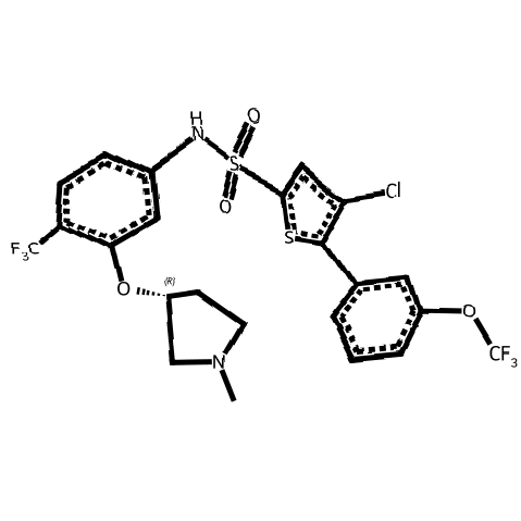 CN1CC[C@@H](Oc2cc(NS(=O)(=O)c3cc(Cl)c(-c4cccc(OC(F)(F)F)c4)s3)ccc2C(F)(F)F)C1